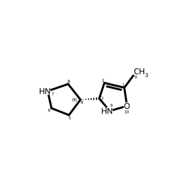 CC1=CC([C@@H]2CCNC2)NO1